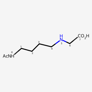 CC(=O)NCCCCNCC(=O)O